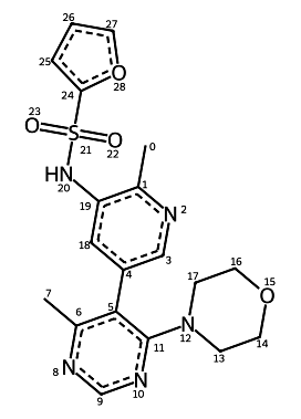 Cc1ncc(-c2c(C)ncnc2N2CCOCC2)cc1NS(=O)(=O)c1ccco1